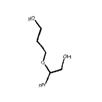 CCCC(CO)OCCCO